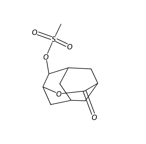 CS(=O)(=O)OC1C2CC3CC(C2)C(=O)OC1C3